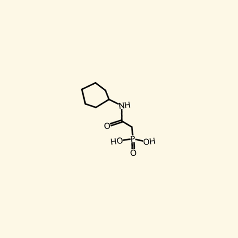 O=C(CP(=O)(O)O)NC1CCCCC1